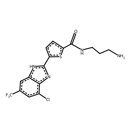 NCCCNC(=O)c1ccc(-c2nc3c(Cl)cc(C(F)(F)F)cc3[nH]2)s1